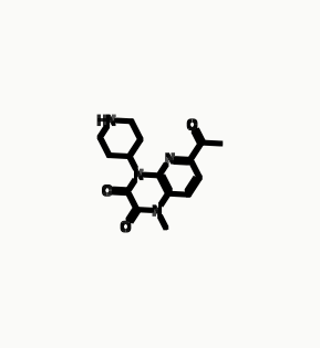 CC(=O)c1ccc2c(n1)n(C1CCNCC1)c(=O)c(=O)n2C